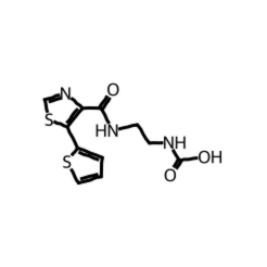 O=C(O)NCCNC(=O)c1ncsc1-c1cccs1